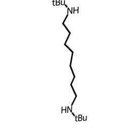 CC(C)(C)NCCCCCCCCNC(C)(C)C